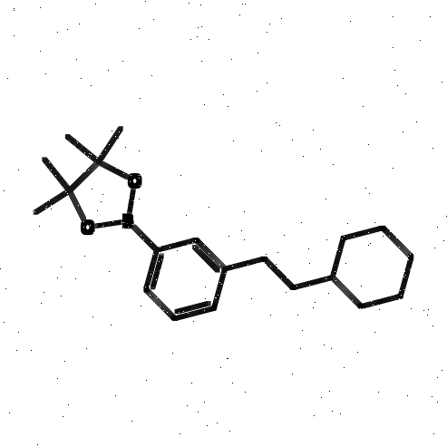 CC1(C)OB(c2cccc(CCC3CCCCC3)c2)OC1(C)C